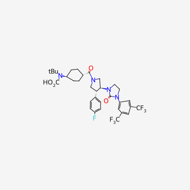 CC(C)(C)N(C(=O)O)[C@H]1CC[C@H](C(=O)N2C[C@@H](N3CCN(c4cc(C(F)(F)F)cc(C(F)(F)F)c4)C3=O)[C@H](c3ccc(F)cc3)C2)CC1